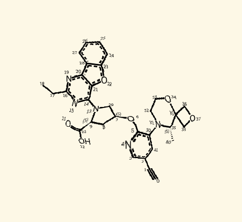 C#Cc1cnc(O[C@H]2C[C@@H](C(=O)O)N(c3nc(CC)nc4c3oc3ccccc34)C2)c(N2CCOC3(COC3)[C@@H]2C)c1